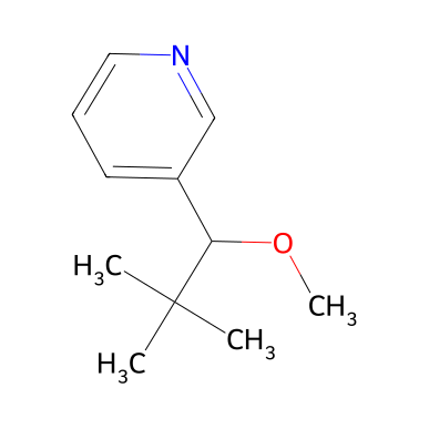 COC(c1cccnc1)C(C)(C)C